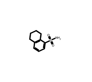 NS(=O)(=O)c1cccc2c1CCCC2